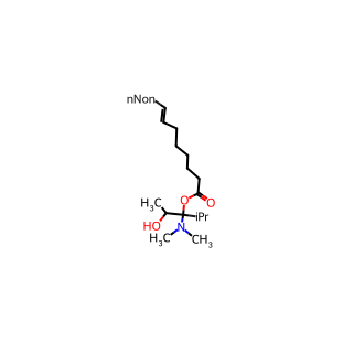 CCCCCCCCCC=CCCCCCC(=O)OC(C(C)C)(C(C)O)N(C)C